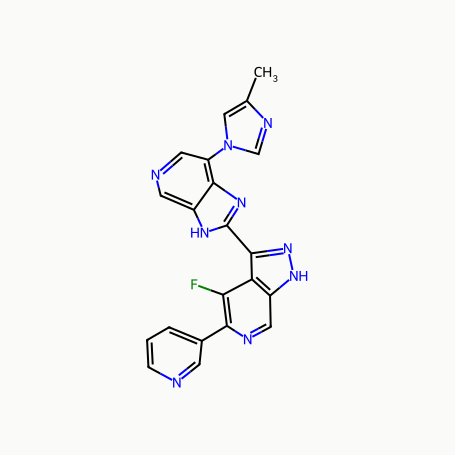 Cc1cn(-c2cncc3[nH]c(-c4n[nH]c5cnc(-c6cccnc6)c(F)c45)nc23)cn1